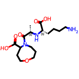 C[C@H](N[C@@H](CCCCN)C(=O)O)C(=O)N1CCCOCCC1C(=O)O